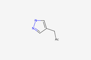 CC(=O)CC1=C[N]N=C1